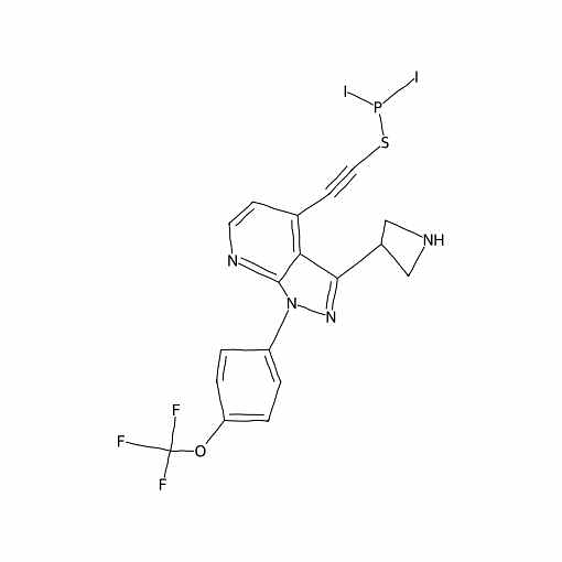 FC(F)(F)Oc1ccc(-n2nc(C3CNC3)c3c(C#CSP(I)I)ccnc32)cc1